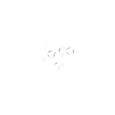 CC(C)[C@H](N)C(=O)Oc1cc([N+](=O)[O-])c(Cl)cc1C(=O)Nc1ccccc1Cl.Cl